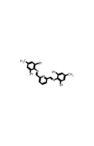 Cc1cc(C(C)C)c(N=Cc2cccc(C=Nc3c(C(C)C)cc(C)cc3C(C)C)n2)c(C(C)C)c1